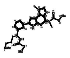 COCCC[C@H](NC(=O)OC(C)(C)C)c1cccc(-c2cc3c(nc(N(C)C(=O)OC(C)(C)C)c4ncn(C)c43)[nH]2)n1